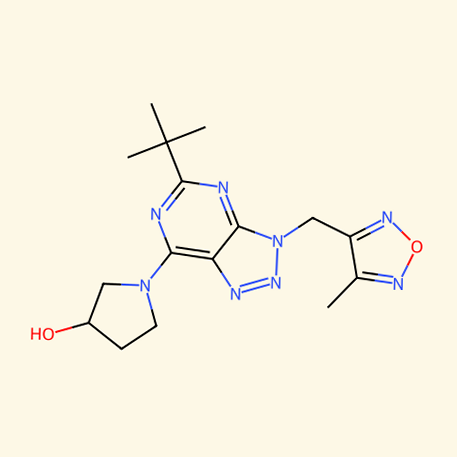 Cc1nonc1Cn1nnc2c(N3CCC(O)C3)nc(C(C)(C)C)nc21